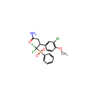 COc1ccc(C(CC(N)=O)C(F)(F)S(=O)(=O)c2ccccc2)cc1Br